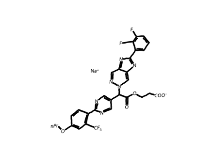 CCCOc1ccc(-c2ncc(C(C(=O)OCCC(=O)[O-])n3cc4nc(-c5cccc(F)c5F)nc-4cn3)cn2)c(C(F)(F)F)c1.[Na+]